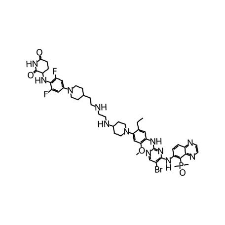 CCc1cc(Nc2ncc(Br)c(Nc3ccc4nccnc4c3P(C)(C)=O)n2)c(OC)cc1N1CCC(NCCNCCC2CCN(c3cc(F)c(NC4CCC(=O)NC4=O)c(F)c3)CC2)CC1